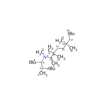 C=C(N(C)C(C(C)C(C)(C)C)C(C)(C)C)C(C)(C)CCC(C)(C)CC(C)(C)C